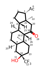 CC(=O)[C@H]1CC[C@H]2[C@@H]3CC[C@@H]4C[C@](O)(C(F)(F)F)CC[C@]4(C)[C@H]3C(=O)C[C@]12C